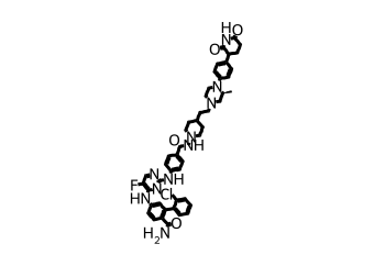 C[C@H]1CN(CCC2CCN(NC(=O)c3ccc(Nc4ncc(F)c(Nc5ccc(C(N)=O)c(-c6ccccc6Cl)c5)n4)cc3)CC2)CCN1c1ccc(C2CCC(=O)NC2=O)cc1